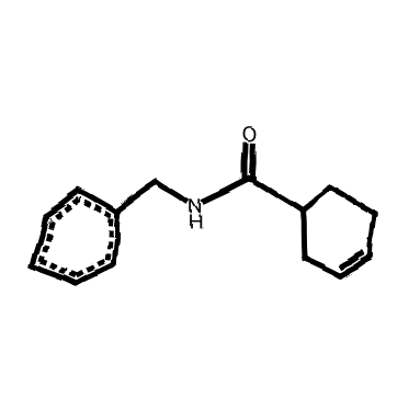 O=C(NCc1ccccc1)C1CC=CCC1